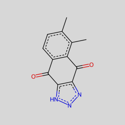 Cc1ccc2c(c1C)C(=O)c1nn[nH]c1C2=O